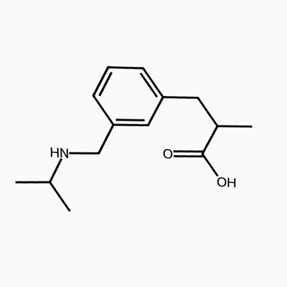 CC(C)NCc1cccc(CC(C)C(=O)O)c1